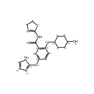 O=C(NC1=NCCS1)c1nc(Sc2nnc[nH]2)ccc1SC1CCC(O)CC1